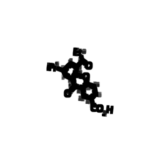 CCC(=O)c1cc(C(C)C)cc2c(=O)c3cc(C(=O)O)ccc3oc12